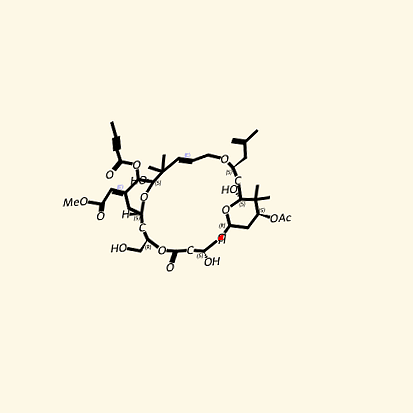 C=C(C)C[C@H]1C[C@]2(O)O[C@H](C[C@H](O)CC(=O)O[C@@H](CO)C[C@@H]3C/C(=C\C(=O)OC)C(OC(=O)C#CC)[C@@](O)(O3)C(C)(C)/C=C/CO1)C[C@H](OC(C)=O)C2(C)C